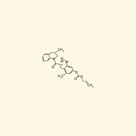 C=CCOC(=O)Oc1cc(C)c(C[C@@H](N)C(=O)N2CC(C)Cc3ccccc32)c(Br)c1